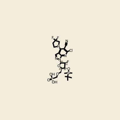 CC(C)(C)[Si](C)(C)O[C@H]1[C@H](F)[C@H](n2ncc3c(N4CCC(F)(F)C4)c(C#N)c(Cl)nc32)O[C@@H]1COCP(=O)(O)O